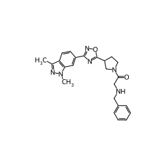 Cc1nn(C)c2cc(-c3noc(C4CCN(C(=O)CNCc5ccccc5)C4)n3)ccc12